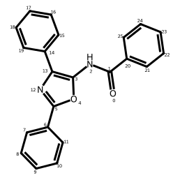 O=C(Nc1oc(-c2ccccc2)nc1-c1ccccc1)c1ccccc1